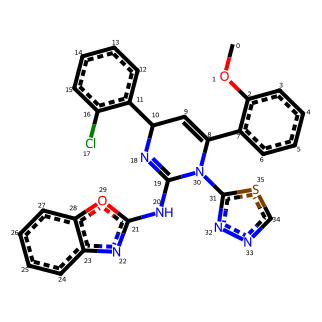 COc1ccccc1C1=CC(c2ccccc2Cl)N=C(Nc2nc3ccccc3o2)N1c1nncs1